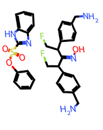 NCc1ccc(C(CF)C(=NO)C(CF)c2ccc(CN)cc2)cc1.O=S(=O)(Oc1ccccc1)c1nc2ccccc2[nH]1